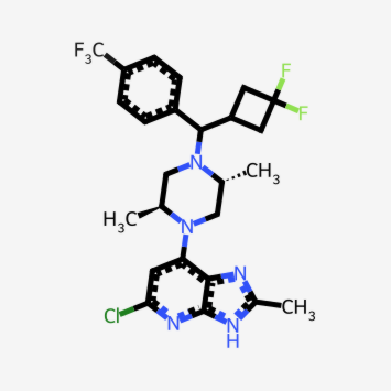 Cc1nc2c(N3C[C@@H](C)N(C(c4ccc(C(F)(F)F)cc4)C4CC(F)(F)C4)C[C@@H]3C)cc(Cl)nc2[nH]1